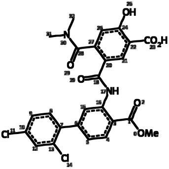 COC(=O)c1ccc(-c2ccc(Cl)cc2Cl)cc1NC(=O)c1cc(C(=O)O)c(O)cc1C(=O)N(C)C